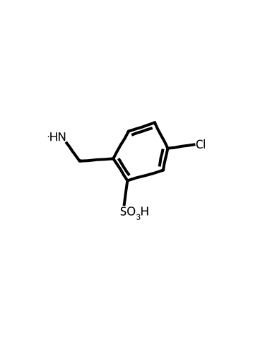 [NH]Cc1ccc(Cl)cc1S(=O)(=O)O